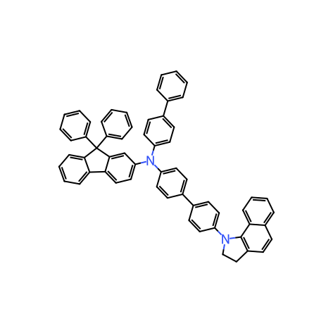 c1ccc(-c2ccc(N(c3ccc(-c4ccc(N5CCc6ccc7ccccc7c65)cc4)cc3)c3ccc4c(c3)C(c3ccccc3)(c3ccccc3)c3ccccc3-4)cc2)cc1